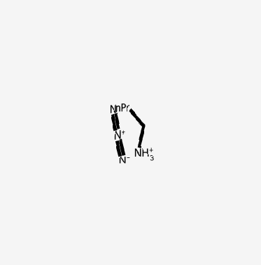 CCCC[NH3+].[N-]=[N+]=[N-]